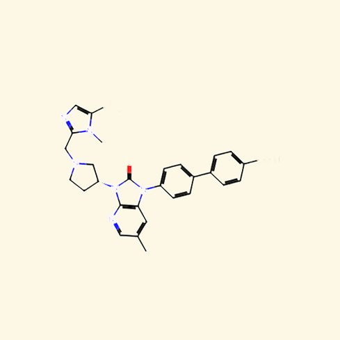 Cc1cnc2c(c1)n(-c1ccc(-c3ccc(C(=O)O)cc3)cc1)c(=O)n2[C@H]1CCN(Cc2ncc(C(=O)O)n2C)C1